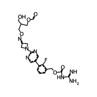 N=C(N)NC(=O)OCc1cccc(-c2cnc(N3CC(=NOCC(CO)COC=O)C3)nc2)c1F